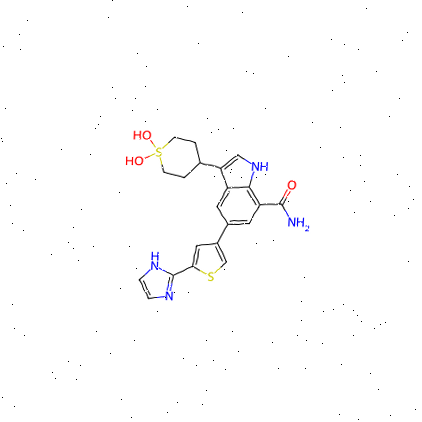 NC(=O)c1cc(-c2csc(-c3ncc[nH]3)c2)cc2c(C3CCS(O)(O)CC3)c[nH]c12